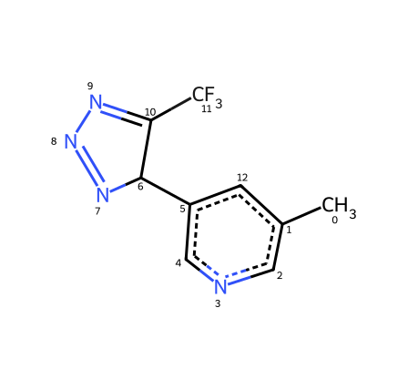 Cc1cncc(C2N=NN=C2C(F)(F)F)c1